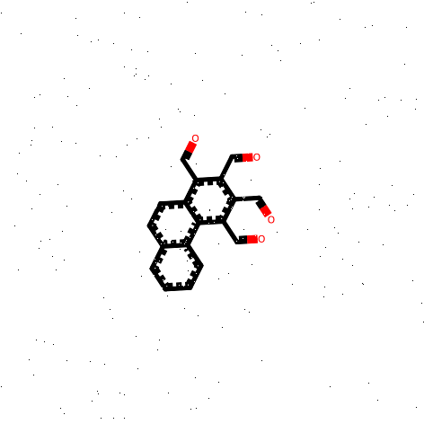 O=Cc1c(C=O)c(C=O)c2c(ccc3ccccc32)c1C=O